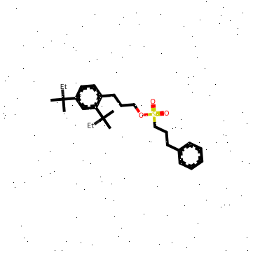 CCC(C)(C)c1ccc(CCCOS(=O)(=O)CCCc2ccccc2)c(C(C)(C)CC)c1